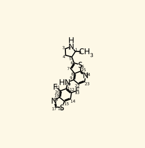 CC1NCCC1c1cc2c(Nc3c(F)cc4scnc4c3F)ccnc2s1